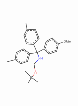 COc1ccc(C(NCO[Si](C)(C)C)(c2ccc(C)cc2)c2ccc(C)cc2)cc1